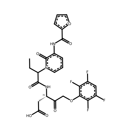 CCC(C(=O)N[C@@H](CC(=O)O)C(=O)COc1c(F)c(F)cc(F)c1F)n1cccc(NC(=O)c2ccco2)c1=O